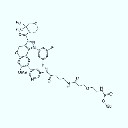 COc1cc2c(cc1-c1cncc(NC(=O)CCCNC(=O)CCOCCNC(=O)OC(C)(C)C)c1)-c1c(c(C(=O)N3CCOCC3(C)C)nn1-c1cc(F)cc(F)c1)CO2